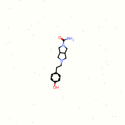 NC(=O)N1CC2CN(CCc3ccc(O)cc3)CC2C1